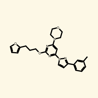 Cc1cccc(-c2ccn(-c3cc(N4CCOCC4)nc(OCCCc4ccco4)n3)n2)c1